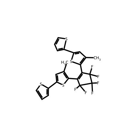 Cc1cc(-c2cccs2)sc1C1=C(c2sc(-c3cccs3)cc2C)C(F)(F)C(F)(F)C1(F)F